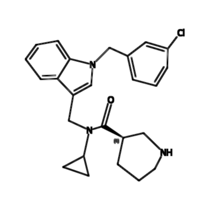 O=C([C@@H]1CCCNC1)N(Cc1cn(Cc2cccc(Cl)c2)c2ccccc12)C1CC1